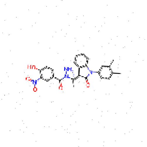 C/C(=C1\C(=O)N(c2ccc(C)c(C)c2)c2ccccc21)N(N)C(=O)c1ccc(O)c([N+](=O)[O-])c1